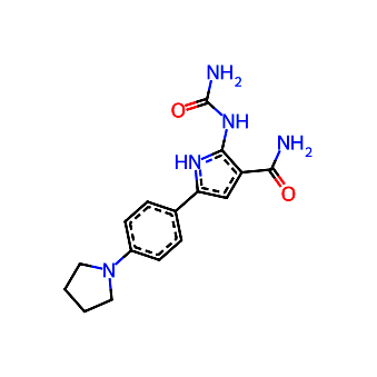 NC(=O)Nc1[nH]c(-c2ccc(N3CCCC3)cc2)cc1C(N)=O